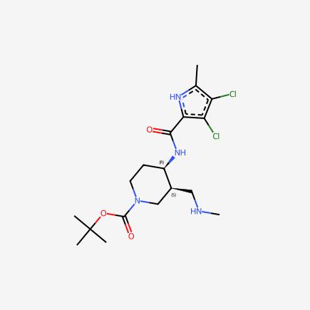 CNC[C@H]1CN(C(=O)OC(C)(C)C)CC[C@H]1NC(=O)c1[nH]c(C)c(Cl)c1Cl